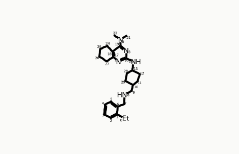 CCc1ccccc1CNCC1CCC(Nc2nc3c(c(N(C)C)n2)CCCC3)CC1